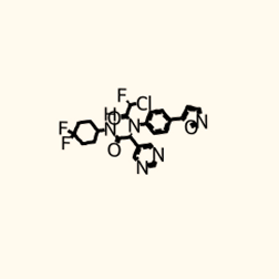 O=C(NC1CCC(F)(F)CC1)[C@@H](c1cncnc1)N(C(=O)[C@@H](F)Cl)c1ccc(-c2ccno2)cc1